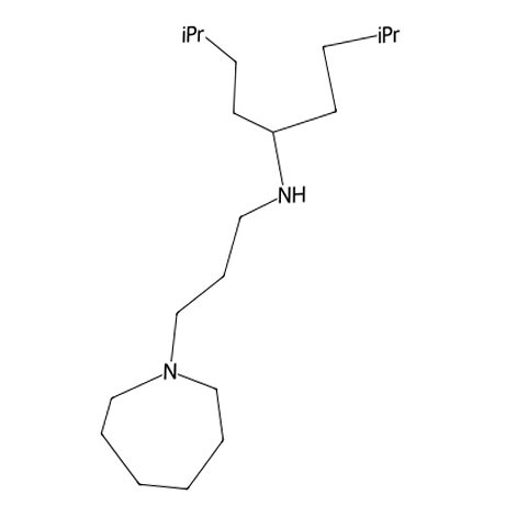 CC(C)CCC(CCC(C)C)NCCCN1CCCCCC1